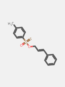 Cc1ccc(S(=O)(=S)OCC=Cc2ccccc2)cc1